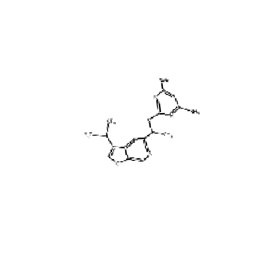 CSc1cc(N)nc(SC(C)c2cc3c(C(C(F)(F)F)C(F)(F)F)coc3cn2)n1